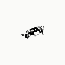 CCCc1cc(C(=O)N2CCC[C@]2(C)C#N)n2c1-c1cc(-c3nnn(C)n3)c(OC)cc1CC2